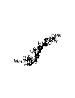 COC(=O)N[C@H](C(=O)N1CCC[C@H]1c1ncc(-c2ccc3c(c2)cc2c4ccc(-c5cnc([C@@H]6CCCN6C(=O)[C@@H](NC(=O)OC)C(C)C)[nH]5)cc4[nH]c(=O)n32)[nH]1)C(C)C